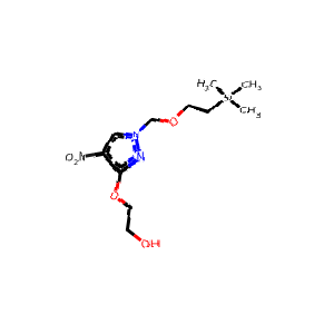 C[Si](C)(C)CCOCn1cc([N+](=O)[O-])c(OCCO)n1